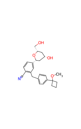 COC1(c2ccc(Cc3cc([C@H]4C[C@@H](O)C[C@@H](CO)O4)ccc3C#N)cc2)CCC1